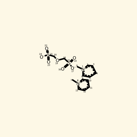 C[n+]1ccccc1.C[n+]1ccccc1.O=S(=O)([O-])COCS(=O)(=O)[O-]